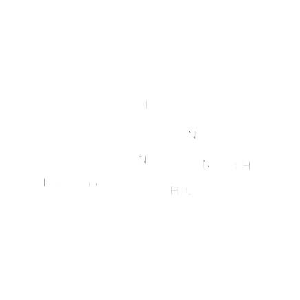 CO/C=N/C(I)=N\N(C)C